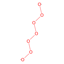 [O]OOOOO[O]